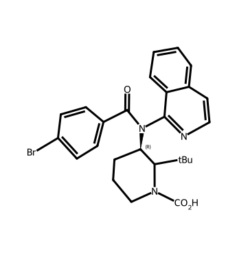 CC(C)(C)C1[C@H](N(C(=O)c2ccc(Br)cc2)c2nccc3ccccc23)CCCN1C(=O)O